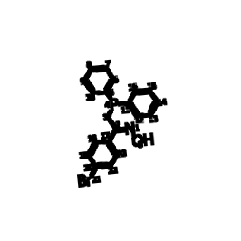 ON=C(CP(c1ccccc1)c1ccccc1)c1ccc(Br)cc1